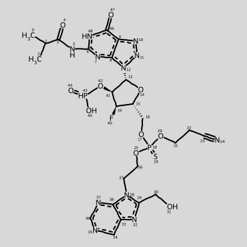 CC(C)C(=O)Nc1nc2c(nnn2[C@@H]2O[C@H](COP(=S)(OCCC#N)OCCn3c(CO)nc4cncnc43)[C@@H](F)[C@H]2O[PH](=O)O)c(=O)[nH]1